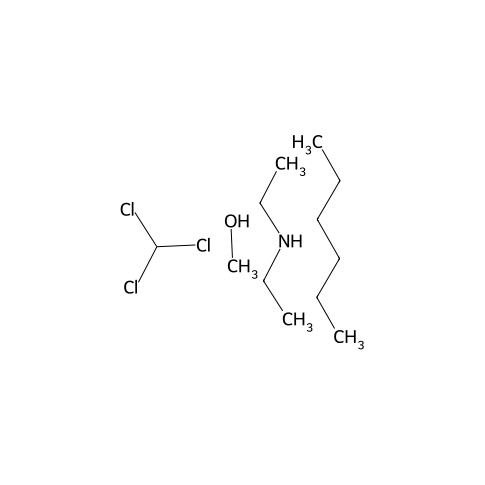 CCCCCC.CCNCC.CO.ClC(Cl)Cl